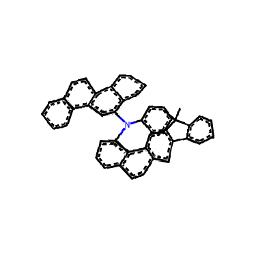 CC1(C)c2ccccc2-c2cc3ccc4cccc(N(c5ccccc5)c5cc6c7ccccc7ccc6c6ccccc56)c4c3cc21